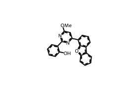 COc1cc(-c2cccc3c2oc2ccccc23)nc(-c2ccccc2O)n1